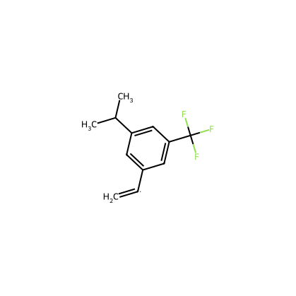 C=[C]c1cc(C(C)C)cc(C(F)(F)F)c1